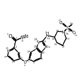 CNC(=O)c1cc(Oc2ccc3nc(NC4CCCN(S(C)(=O)=O)C4)sc3c2)ccn1